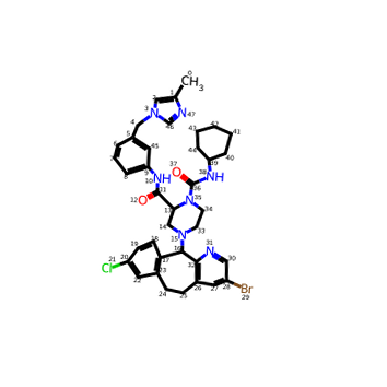 Cc1cn(Cc2cccc(NC(=O)C3CN(C4c5ccc(Cl)cc5CCc5cc(Br)cnc54)CCN3C(=O)NC3CCCCC3)c2)cn1